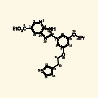 CCOC(=O)c1cnc2[nH]c(-c3cc(OCCc4ccsc4)cc(OC(C)C)c3)nc2c1